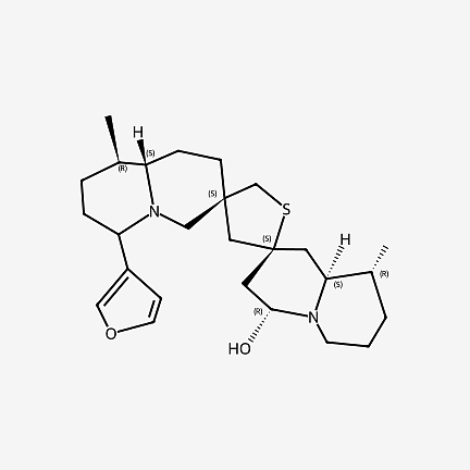 C[C@@H]1CCC(c2ccoc2)N2C[C@@]3(CC[C@@H]12)CS[C@@]1(C[C@@H](O)N2CCC[C@@H](C)[C@@H]2C1)C3